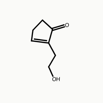 O=C1CCC=C1CCO